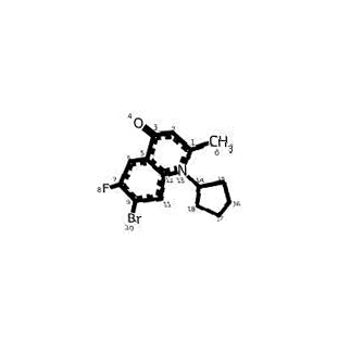 Cc1cc(=O)c2cc(F)c(Br)cc2n1C1CCCC1